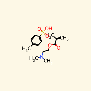 C=C(C)C(=O)OCCN(C)C.Cc1ccc(S(=O)(=O)O)cc1